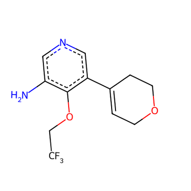 Nc1cncc(C2=CCOCC2)c1OCC(F)(F)F